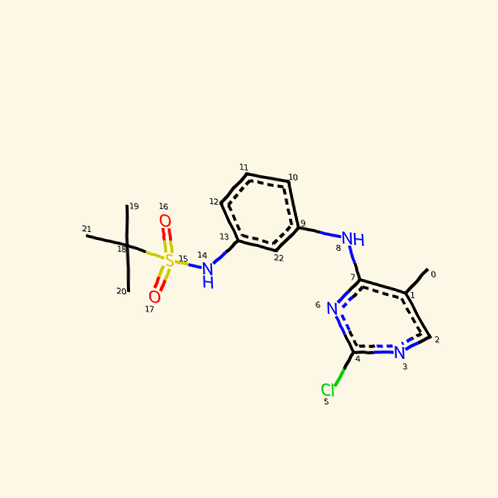 Cc1cnc(Cl)nc1Nc1cccc(NS(=O)(=O)C(C)(C)C)c1